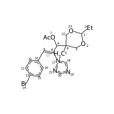 CCC1OCC(C)(C(OC(C)=O)/C(=C/c2ccc(Br)cc2)n2cncn2)CO1